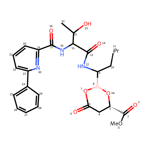 COC(=O)[C@@H]1CC(=O)OB(C(CC(C)C)NC(=O)C(NC(=O)c2cccc(-c3ccccc3)n2)C(C)O)O1